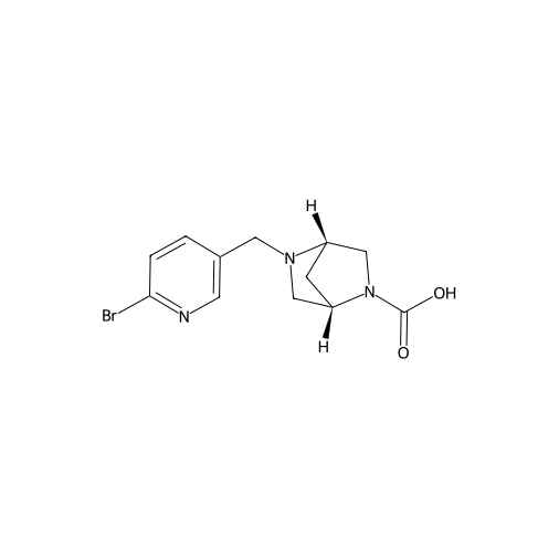 O=C(O)N1C[C@@H]2C[C@H]1CN2Cc1ccc(Br)nc1